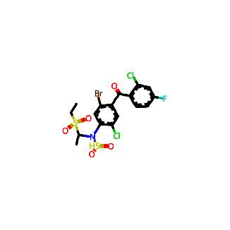 CCS(=O)(=O)C(C)N(c1cc(Br)c(C(=O)c2ccc(F)cc2Cl)cc1Cl)[SH](=O)=O